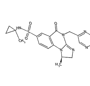 C[C@@H]1CN=C2N(Cc3cnccn3)C(=O)c3cc(S(=O)(=O)NC4(C)CC4)ccc3N21